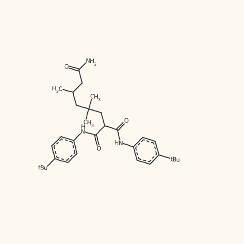 CC(CC(N)=O)CC(C)(C)CC(C(=O)Nc1ccc(C(C)(C)C)cc1)C(=O)Nc1ccc(C(C)(C)C)cc1